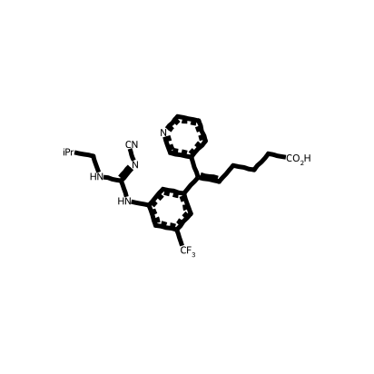 CC(C)CNC(=NC#N)Nc1cc(C(=CCCCC(=O)O)c2cccnc2)cc(C(F)(F)F)c1